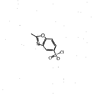 Cc1nc2cc(S(=O)(=O)Cl)ccc2o1